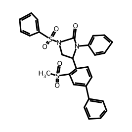 CS(=O)(=O)c1cc(-c2ccccc2)ccc1C1CN(S(=O)(=O)c2ccccc2)C(=O)N1c1ccccc1